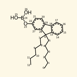 CCCCCCC1(CCCCCC)c2ccccc2-c2ccc(OB(O)O)cc21